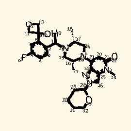 CC(c1ccc(F)cc1C1(O)COC1)N1C[C@H](C)N(c2cc(=O)n(C)c3cn(C4CCCCO4)nc23)C[C@H]1C